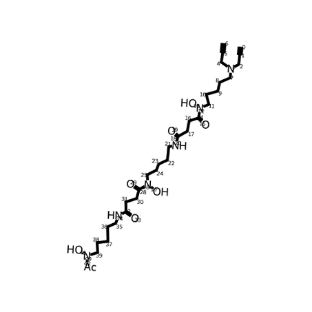 C#CCN(CC#C)CCCCCN(O)C(=O)CCC(=O)NCCCCCN(O)C(=O)CCC(=O)NCCCCCN(O)C(C)=O